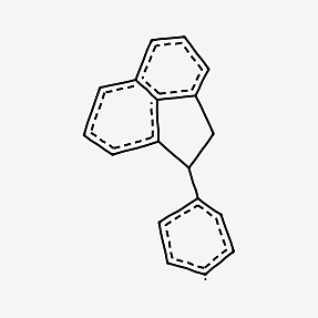 [c]1ccc(C2Cc3cccc4cccc2c34)cc1